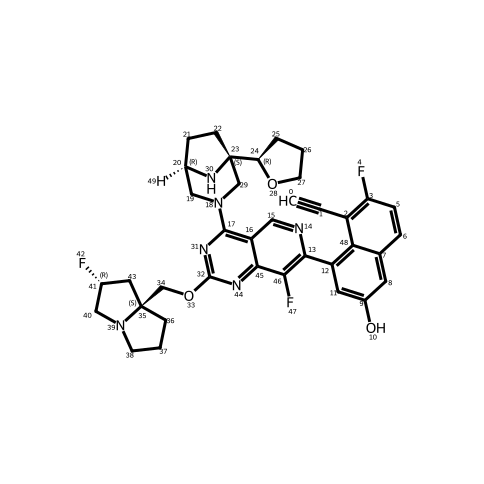 C#Cc1c(F)ccc2cc(O)cc(-c3ncc4c(N5C[C@H]6CC[C@@]([C@H]7CCCO7)(C5)N6)nc(OC[C@@]56CCCN5C[C@H](F)C6)nc4c3F)c12